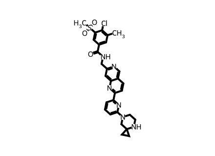 Cc1cc(C(=O)NCc2cc3nc(-c4cccc(N5CCNC6(CC6)C5)n4)ccc3cn2)cc(S(C)(=O)=O)c1Cl